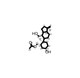 C=C1CCC2[C@H](CO)C([C@@]3(C)CC[C@H](O)C[C@@H]3COC(C)=O)CC[C@]12C